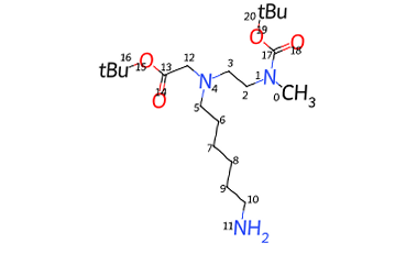 CN(CCN(CCCCCCN)CC(=O)OC(C)(C)C)C(=O)OC(C)(C)C